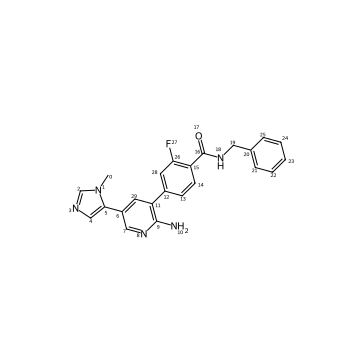 Cn1cncc1-c1cnc(N)c(-c2ccc(C(=O)NCc3ccccc3)c(F)c2)c1